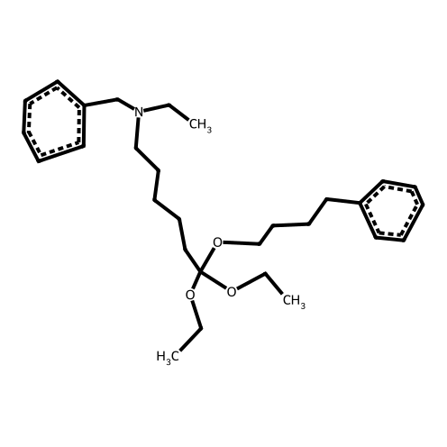 CCOC(CCCCCN(CC)Cc1ccccc1)(OCC)OCCCCc1ccccc1